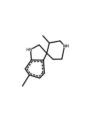 Cc1ccc2c(c1)NCC21CCNCC1C